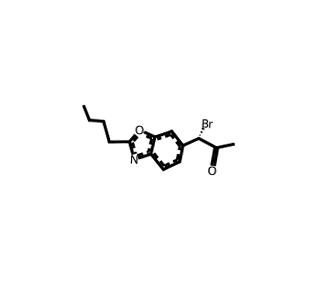 CCCCc1nc2ccc([C@H](Br)C(C)=O)cc2o1